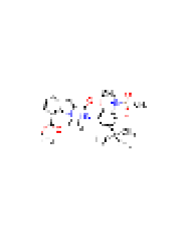 COC(=O)c1cccc2cc(C(=O)Nc3cc(C(C)(C)C)cc(NS(C)(=O)=O)c3OC)n(C)c12